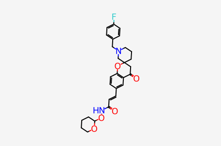 O=C(/C=C/c1ccc2c(c1)C(=O)CC1(CCCN(Cc3ccc(F)cc3)C1)O2)NOC1CCCCO1